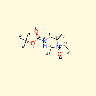 C=C(CNC(=O)OC(C)(C)C)[N+]([O-])(CC)CC